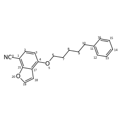 N#Cc1ccc(OCCCCCc2ccccc2)c2ccoc12